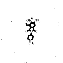 CN1CCC(N2C(=O)c3cc(N)c([N+](=O)[O-])c(CI)c3C2=O)CC1